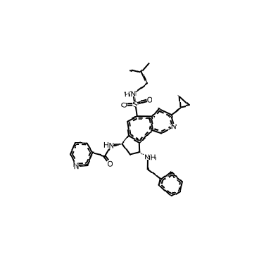 CC(C)CNS(=O)(=O)c1cc2c(c3cnc(C4CC4)cc13)[C@H](NCc1ccccc1)C[C@H]2NC(=O)c1cccnc1